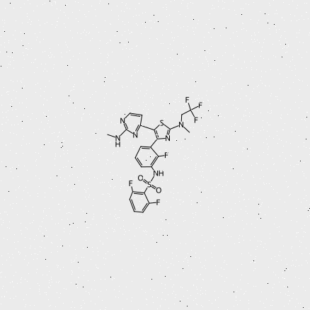 CNc1nccc(-c2sc(N(C)CC(F)(F)F)nc2-c2cccc(NS(=O)(=O)c3c(F)cccc3F)c2F)n1